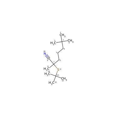 CC(C)(C)CCCC(C)(C#N)SC(C)(C)C